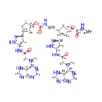 CC(C)NC(=O)O[C@@H]1CC[C@H](c2cc(NC(=O)CN(C)c3ncnc4nc[nH]c34)[nH]n2)C1.CC(C)NC(=O)O[C@H]1CC[C@@H](c2cc(NC(=O)CN(C)c3ncnc4nc[nH]c34)[nH]n2)C1